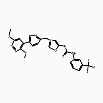 COc1cc(-c2ccc(C[n+]3cc([N-]C(=O)Nc4cccc(C(F)(F)F)c4)on3)nc2)c(OC)nn1